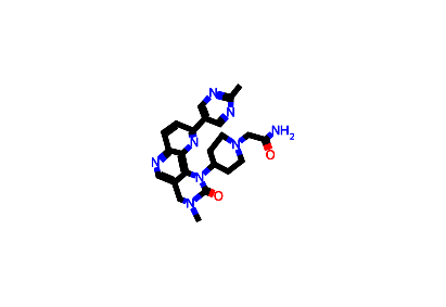 Cc1ncc(-c2ccc3ncc4c(c3n2)N(C2CCN(CC(N)=O)CC2)C(=O)N(C)C4)cn1